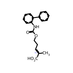 C/C(=C\CCOC(=O)Nc1ccccc1-c1ccccc1)C(=O)O